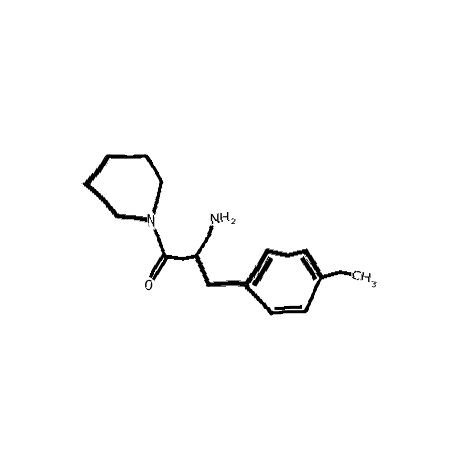 Cc1ccc(CC(N)C(=O)N2CCCCC2)cc1